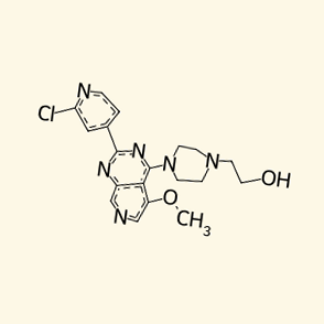 COc1cncc2nc(-c3ccnc(Cl)c3)nc(N3CCN(CCO)CC3)c12